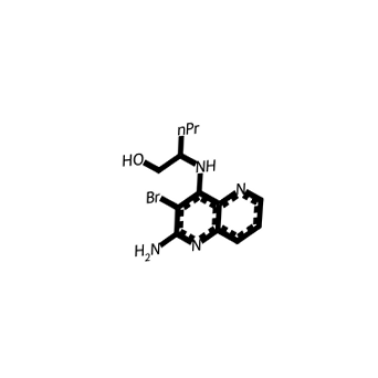 CCCC(CO)Nc1c(Br)c(N)nc2cccnc12